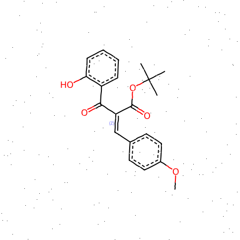 COc1ccc(/C=C(\C(=O)OC(C)(C)C)C(=O)c2ccccc2O)cc1